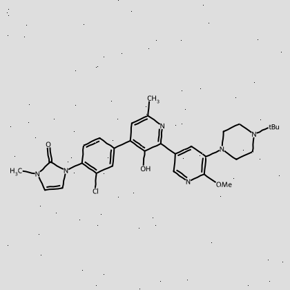 COc1ncc(-c2nc(C)cc(-c3ccc(-n4ccn(C)c4=O)c(Cl)c3)c2O)cc1N1CCN(C(C)(C)C)CC1